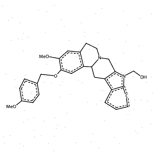 COc1ccc(COc2cc3c(cc2OC)CCN2Cc4c(c5ccccc5n4CO)CC32)cc1